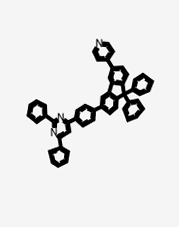 c1ccc(-c2cc(-c3ccc(-c4ccc5c(c4)-c4cc(-c6ccncc6)ccc4C5(c4ccccc4)c4ccccc4)cc3)nc(-c3ccccc3)n2)cc1